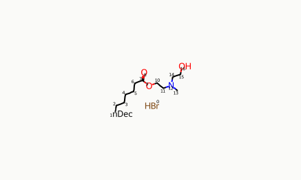 Br.CCCCCCCCCCCCCCCC(=O)OCCN(C)CCO